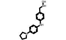 ONCc1ccc(Nc2ccc(N3CCCC3)cc2)cc1